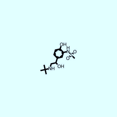 CC(C)(C)NCC(O)c1ccc(O)c(NS(C)(=O)=O)c1